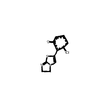 Clc1cccc(Cl)c1C1=CN2CCN=C2S1